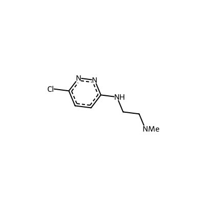 CNCCNc1ccc(Cl)nn1